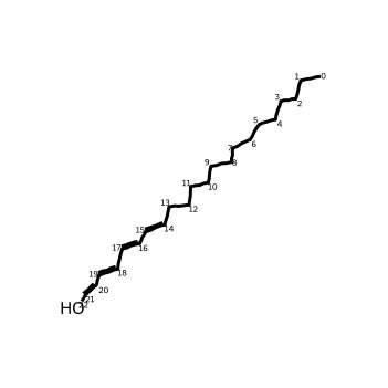 CCCCCCCCCCCCCC/C=C/C=C/C=C/C=C/O